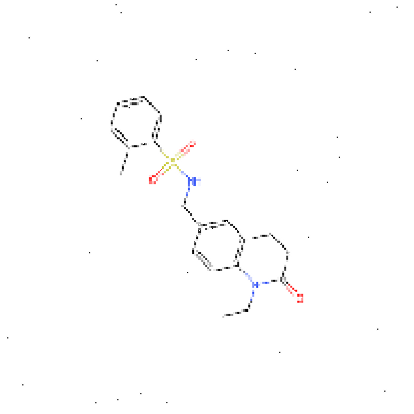 CCN1C(=O)CCc2cc(CNS(=O)(=O)c3ccccc3C)ccc21